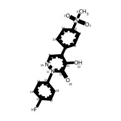 CS(=O)(=O)c1ccc(-c2cnn(-c3ccc(F)cc3)c(=O)c2O)cc1